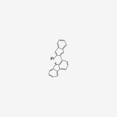 CC(C)c1cc2ccccc2cc1-c1cccc2c1sc1ccccc12